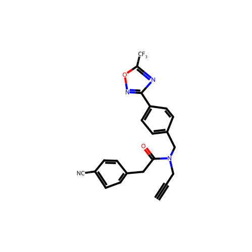 C#CCN(Cc1ccc(-c2noc(C(F)(F)F)n2)cc1)C(=O)Cc1ccc(C#N)cc1